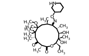 CC[C@H]1OC(=O)[C@H](C)C(=O)[C@H](C)C(C)(C)[C@](C)(OC)C[C@@H](C)/C(=N\O[C@@H]2CCCNC2)[C@H](C)[C@@H](O)[C@]1(C)O